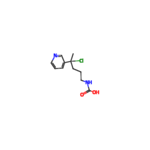 CC(Cl)(CCCNC(=O)O)c1cccnc1